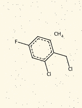 C.Fc1ccc(CCl)c(Cl)c1